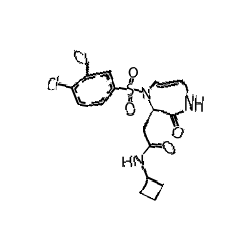 O=C(C[C@@H]1C(=O)NC=CN1S(=O)(=O)c1ccc(Cl)c(Cl)c1)NC1CCC1